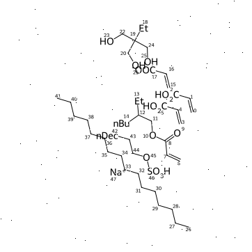 C=CC(=O)O.C=CC(=O)O.C=CC(=O)OCC(CC)CCCC.C=CC(=O)[O-].CCC(CO)(CO)CO.CCCCCCCCCCCCCCCC.CCCCCCCCCCCCOS(=O)(=O)O.[Na+]